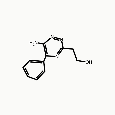 Nc1nnc(CCO)nc1-c1ccccc1